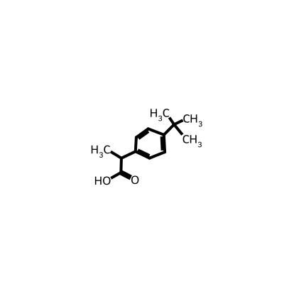 CC(C(=O)O)c1ccc(C(C)(C)C)cc1